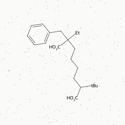 CCC(CCCCC(C(=O)O)C(C)(C)C)(Cc1ccccc1)C(=O)O